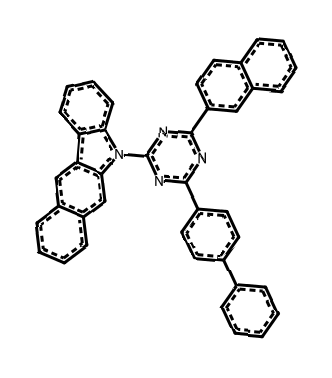 c1ccc(-c2ccc(-c3nc(-c4ccc5ccccc5c4)nc(-n4c5ccccc5c5cc6ccccc6cc54)n3)cc2)cc1